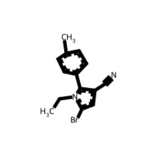 CCn1c(Br)cc(C#N)c1-c1ccc(C)cc1